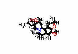 [2H]Oc1c([2H])c2c(c([2H])c1OC([2H])([2H])[2H])C1N(C([2H])([2H])C2([2H])[2H])C([2H])([2H])C([2H])(CC(C)C)C([2H])(O)C1([2H])[2H]